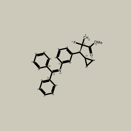 COC(=O)C(C)(F)[C@H](c1cccc(N=C(c2ccccc2)c2ccccc2)c1)C1CC1